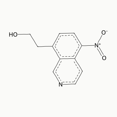 O=[N+]([O-])c1ccc(CCO)c2cnccc12